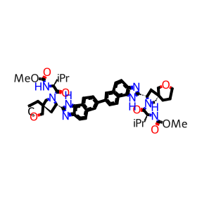 COC(=O)N[C@H](C(=O)N1C[C@]2(CCCOC2)C[C@H]1c1nc2ccc3cc(-c4ccc5c(ccc6nc([C@@H]7C[C@@]8(CCCOC8)CN7C(=O)[C@@H](NC(=O)OC)C(C)C)[nH]c65)c4)ccc3c2[nH]1)C(C)C